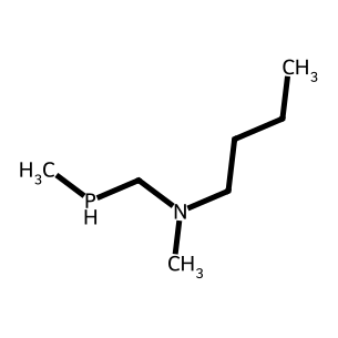 CCCCN(C)CPC